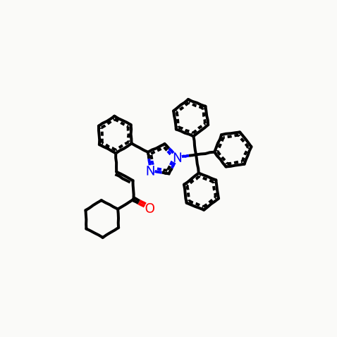 O=C(/C=C/c1ccccc1-c1cn(C(c2ccccc2)(c2ccccc2)c2ccccc2)cn1)C1CCCCC1